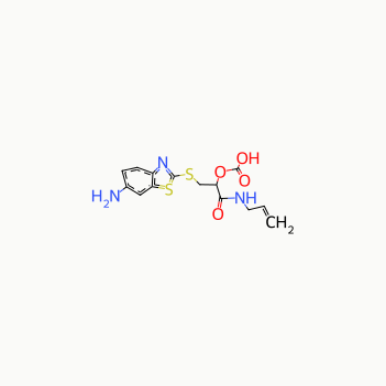 C=CCNC(=O)C(CSc1nc2ccc(N)cc2s1)OC(=O)O